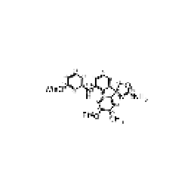 CCOc1ccc(C2(c3cccc(Nc4cccc(OC)c4)c3)COC(N)=N2)cc1C